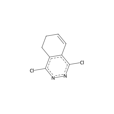 Clc1nnc(Cl)c2c1C=CCC2